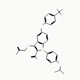 CC(=O)CNc1c(C(=O)O)n(-c2ccc(OC(C)C)cc2)c2ccc(Oc3ccc(C(F)(F)F)cc3)cc12